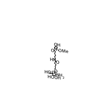 COC[C@@H]1C[C@@H](O)CN1C(=O)CCCCCNC(=O)CCCCCO[C@@H]1OC(CO)C(O)[C@@H](O)[C@@H]1N